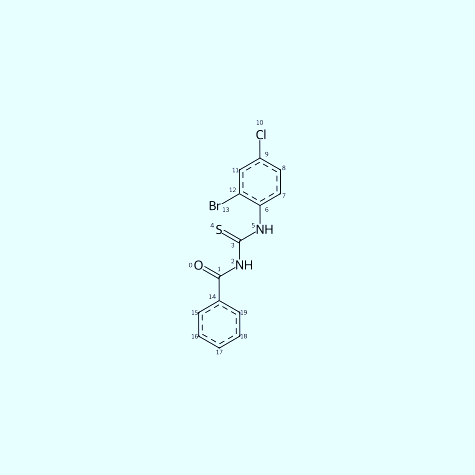 O=C(NC(=S)Nc1ccc(Cl)cc1Br)c1ccccc1